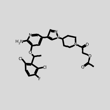 CC(=O)OCC(=O)N1CCC(n2cc(-c3cnc(N)c(OC(C)c4c(Cl)ccc(F)c4Cl)c3)cn2)CC1